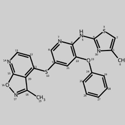 Cc1csc(Nc2ncc(Sc3ccnc4onc(C)c34)cc2Oc2ccccc2)n1